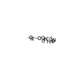 Cc1ccc(CCc2ccc(OC(=O)N3CCC(Sc4ncc[nH]4)CC3)cc2)nc1